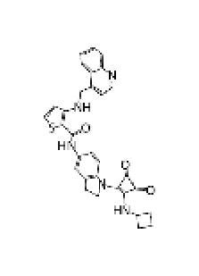 O=C(Nc1ccc2c(c1)CCN2c1c(NC2CCC2)c(=O)c1=O)c1sccc1NCc1ccnc2ccccc12